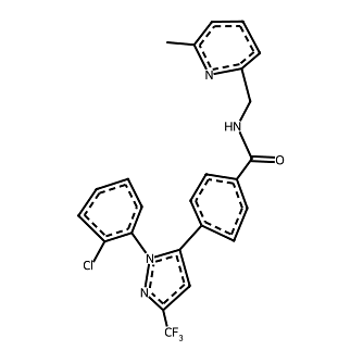 Cc1cccc(CNC(=O)c2ccc(-c3cc(C(F)(F)F)nn3-c3ccccc3Cl)cc2)n1